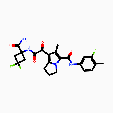 Cc1ccc(NC(=O)c2c(C)c(C(=O)C(=O)NC3(C(N)=O)CC(F)(F)C3)c3n2CCC3)cc1F